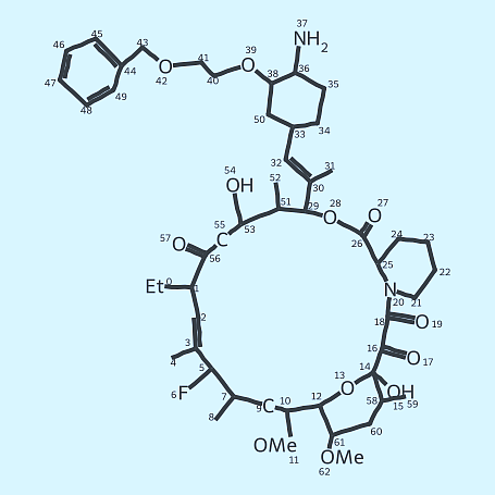 CCC1/C=C(\C)C(F)C(C)CC(OC)C2OC(O)(C(=O)C(=O)N3CCCCC3C(=O)OC(C(C)=CC3CCC(N)C(OCCOCc4ccccc4)C3)C(C)C(O)CC1=O)C(C)CC2OC